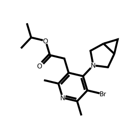 Cc1nc(C)c(CC(=O)OC(C)C)c(N2CC3CC3C2)c1Br